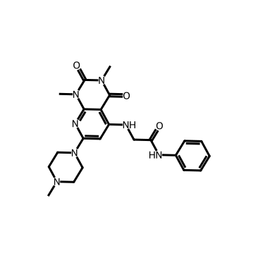 CN1CCN(c2cc(NCC(=O)Nc3ccccc3)c3c(=O)n(C)c(=O)n(C)c3n2)CC1